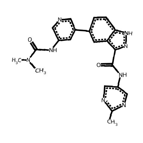 Cc1ncc(NC(=O)c2n[nH]c3ccc(-c4cncc(NC(=O)N(C)C)c4)cc23)cn1